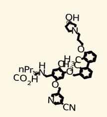 CCC[C@H](NCc1cc(Cl)c(OCc2cccc(-c3cccc(OCCCN4CC[C@@H](O)C4)c3C)c2C)cc1OCc1cncc(C#N)c1)C(=O)O